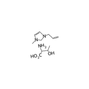 C=CCN1C=CN(C)C1.CC(O)C(N)C(=O)O